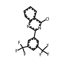 FC(F)(F)c1cc(-c2nc(Cl)c3ccccc3n2)cc(C(F)(F)F)c1